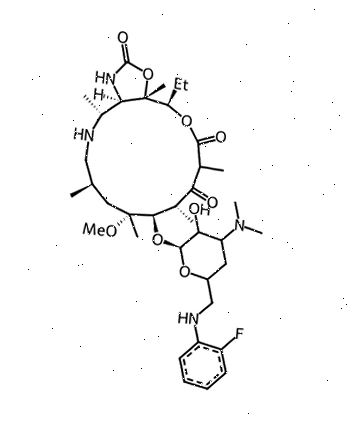 CC[C@H]1OC(=O)C(C)C(=O)[C@H](C)[C@@H](O[C@@H]2OC(CNc3ccccc3F)CC(N(C)C)C2O)[C@](C)(OC)C[C@@H](C)CN[C@H](C)[C@H]2NC(=O)O[C@@]21C